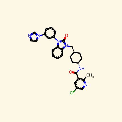 Cc1ncc(Cl)cc1C(=O)N[C@H]1CC[C@H](Cn2c(=O)n(-c3cccc(-n4ccnc4)c3)c3ccccc32)CC1